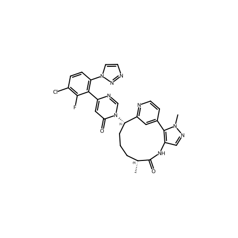 C[C@@H]1CCC[C@H](n2cnc(-c3c(-n4ccnn4)ccc(Cl)c3F)cc2=O)c2cc(ccn2)-c2c(cnn2C)NC1=O